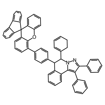 C1=CCCC(C2C(c3ccc(-c4cccc5c4Oc4ccccc4C54c5ccccc5-c5ccccc54)cc3)c3ccccc3-c3c(-c4ccccc4)c(-c4ccccc4)nn32)=C1